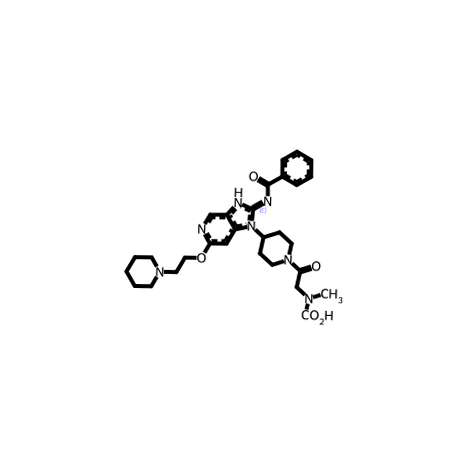 CN(CC(=O)N1CCC(n2/c(=N/C(=O)c3ccccc3)[nH]c3cnc(OCCN4CCCCC4)cc32)CC1)C(=O)O